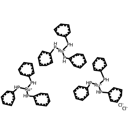 [Cl-].[Cl-].c1ccc([PH][Ru+]([PH]c2ccccc2)[PH]c2ccccc2)cc1.c1ccc([PH][Ru+]([PH]c2ccccc2)[PH]c2ccccc2)cc1.c1ccc([PH][Ru+]([PH]c2ccccc2)[PH]c2ccccc2)cc1